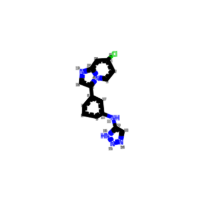 Clc1ccn2c(-c3cccc(Nc4cnn[nH]4)c3)cnc2c1